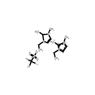 CCN1C=CN(C)C1C.CC[n+]1ccn(C)c1C.O=S(=O)([O-])C(F)(F)F